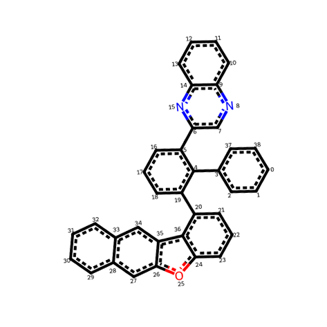 c1ccc(-c2c(-c3cnc4ccccc4n3)cccc2-c2cccc3oc4cc5ccccc5cc4c23)cc1